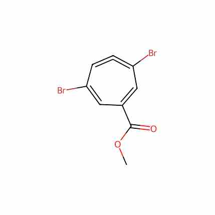 COC(=O)C1=CC(Br)=C=CC(Br)=C1